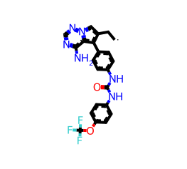 [CH2]Cc1cn2ncnc(N)c2c1-c1ccc(NC(=O)Nc2ccc(OC(F)(F)F)cc2)cc1